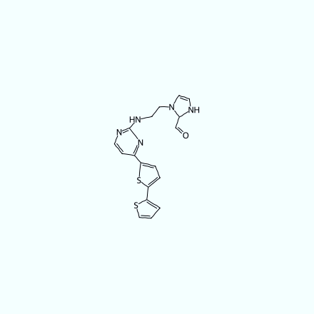 O=CC1NC=CN1CCNc1nccc(-c2ccc(-c3cccs3)s2)n1